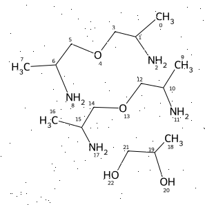 CC(N)COCC(C)N.CC(N)COCC(C)N.CC(O)CO